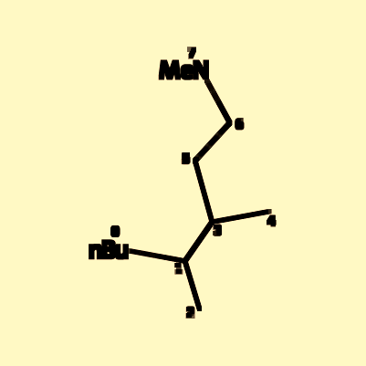 CCCCC(C)C(C)CCNC